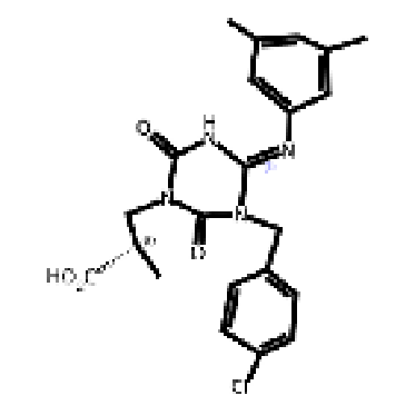 Cc1cc(C)cc(/N=c2\[nH]c(=O)n(C[C@H](C)C(=O)O)c(=O)n2Cc2ccc(Cl)cc2)c1